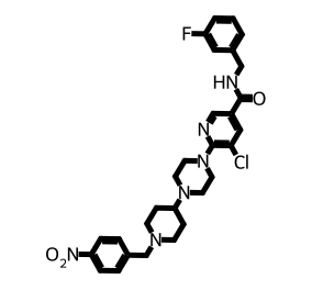 O=C(NCc1cccc(F)c1)c1cnc(N2CCN(C3CCN(Cc4ccc([N+](=O)[O-])cc4)CC3)CC2)c(Cl)c1